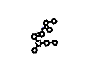 C(=C1/c2ccccc2-c2c1cccc2-c1ccccc1)/c1cccc2c1oc1cccc(-c3nc(-c4ccccc4)nc(-c4ccc(-c5ccccc5)cc4)n3)c12